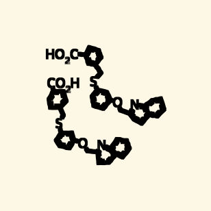 O=C(O)c1ccc(CSc2cccc(OCc3ccc4ccccc4n3)c2)cc1.O=C(O)c1cccc(CSc2cccc(OCc3ccc4ccccc4n3)c2)c1